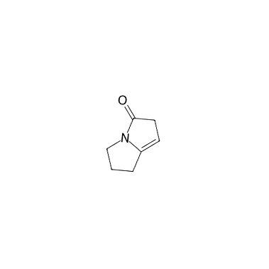 O=C1CC=C2CCCN12